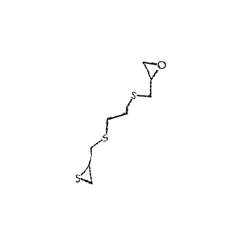 C(CSCC1CS1)SCC1CO1